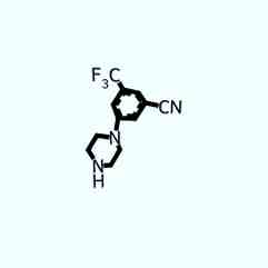 N#Cc1cc(N2CCNCC2)cc(C(F)(F)F)c1